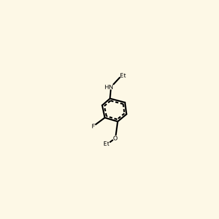 CCNc1ccc(OCC)c(F)c1